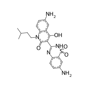 CC(C)CCn1c(=O)c(C2=Nc3ccc(N)cc3S(=O)(=O)N2)c(O)c2cc(N)ccc21